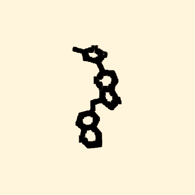 Cc1cc(-c2ccc3ncc(Cc4ccc5ncccc5c4)n3n2)on1